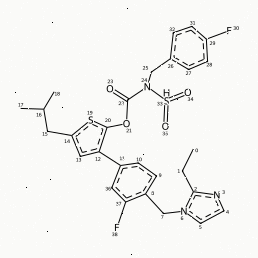 CCc1nccn1Cc1ccc(-c2cc(CC(C)C)sc2OC(=O)N(Cc2ccc(F)cc2)[SH](=O)=O)cc1F